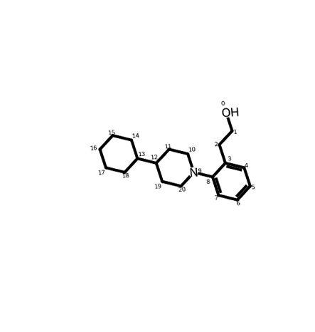 OCCc1ccccc1N1CCC(C2CCCCC2)CC1